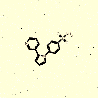 NS(=O)(=O)c1ccc(-n2cccc2-c2cccnc2)cc1